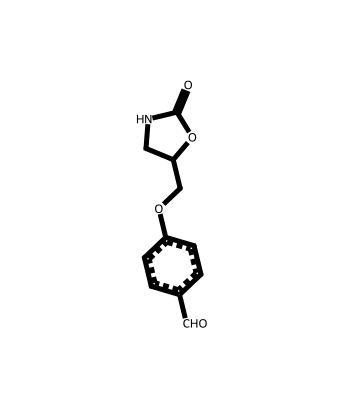 O=Cc1ccc(OCC2CNC(=O)O2)cc1